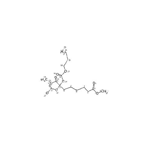 [CH2]OC(=O)CCCCCC(OC([O])=O)(OC(=O)OCCC)C(=O)O[CH2]